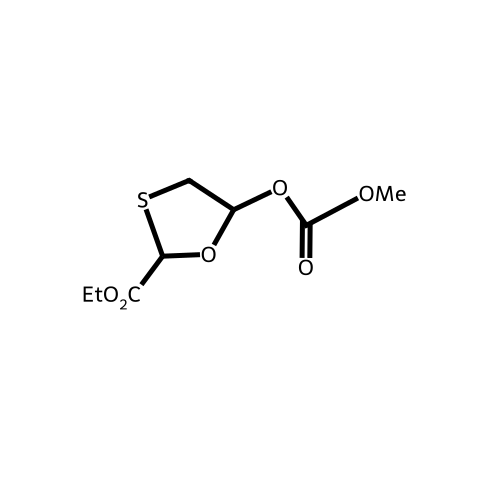 CCOC(=O)C1OC(OC(=O)OC)CS1